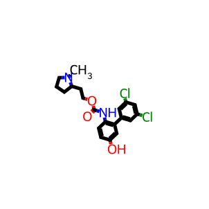 CN1CCCC1CCOC(=O)Nc1ccc(O)cc1-c1cc(Cl)cc(Cl)c1